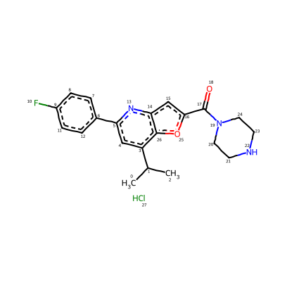 CC(C)c1cc(-c2ccc(F)cc2)nc2cc(C(=O)N3CCNCC3)oc12.Cl